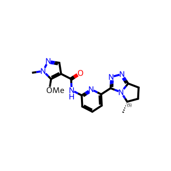 COc1c(C(=O)Nc2cccc(-c3nnc4n3[C@@H](C)CC4)n2)cnn1C